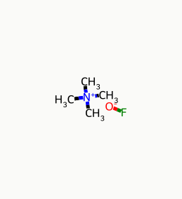 C[N+](C)(C)C.[O-]F